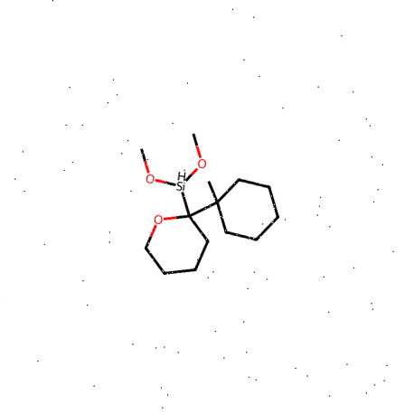 CO[SiH](OC)C1(C2(C)CCCCC2)CCCCO1